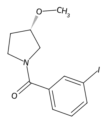 CO[C@H]1CCN(C(=O)c2cccc(I)c2)C1